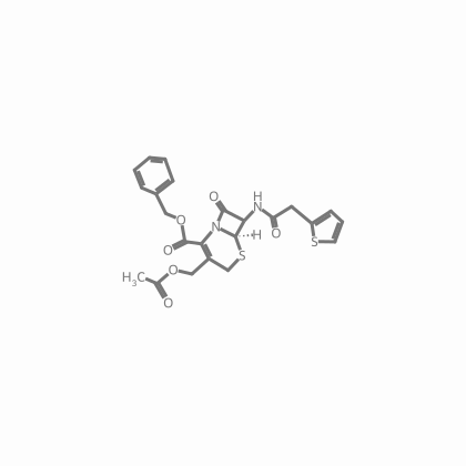 CC(=O)OCC1=C(C(=O)OCc2ccccc2)N2C(=O)C(NC(=O)Cc3cccs3)[C@H]2SC1